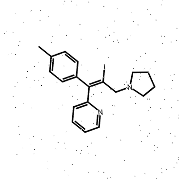 Cc1ccc(C(=C(I)CN2CCCC2)c2ccccn2)cc1